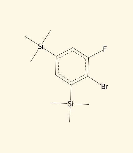 C[Si](C)(C)c1cc(F)c(Br)c([Si](C)(C)C)c1